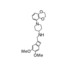 COc1cc2c(cc1OC)C(CNC1CCN(c3cccc4c3OCCO4)CC1)=C2